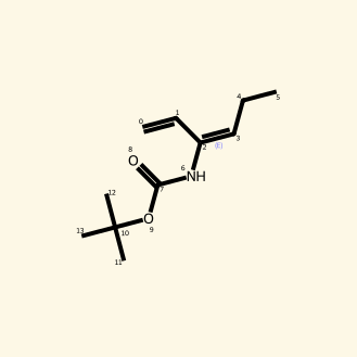 C=C/C(=C\CC)NC(=O)OC(C)(C)C